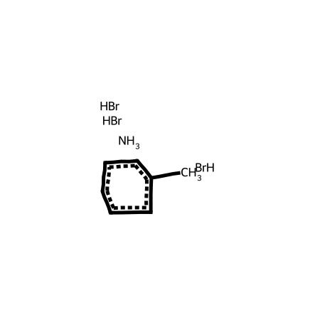 Br.Br.Br.Cc1ccccc1.N